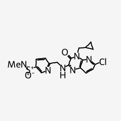 CN[S+]([O-])c1ccc(CNc2nc3ccc(Cl)nc3n(CC3CC3)c2=O)nc1